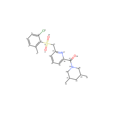 Cc1cccc(Cl)c1S(=O)(=O)Cc1cccc(C(=O)N2CC(C)CC(C)C2)n1